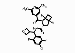 Cc1cc(C(=O)N2[C@@H](C(=O)N[C@@H](c3cc(F)c(Cl)cc3F)C3COC3)C[C@H]3CC[C@H]32)cc(C)n1